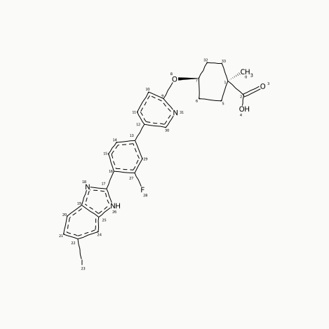 C[C@]1(C(=O)O)CC[C@@H](Oc2ccc(-c3ccc(-c4nc5ccc(I)cc5[nH]4)c(F)c3)cn2)CC1